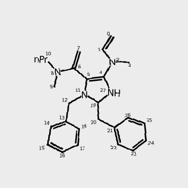 C=CN(C)C1=C(C(=C)N(C)CCC)N(Cc2ccccc2)C(Cc2ccccc2)N1